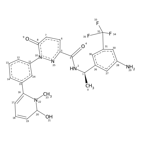 C[C@@H](NC(=O)c1ccc(=O)n(-c2cccc(C3=CC=CC(O)N3C)c2)n1)c1cc(N)cc(C(F)(F)F)c1